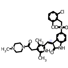 Cc1[nH]c(/C=C2\C(=O)Nc3ccc(S(=O)(=O)Cc4c(Cl)cccc4Cl)cc32)c(C)c1CC(=O)N1CCN(C)CC1